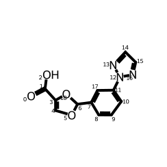 O=C(O)C1=COC(c2cccc(-n3nccn3)c2)O1